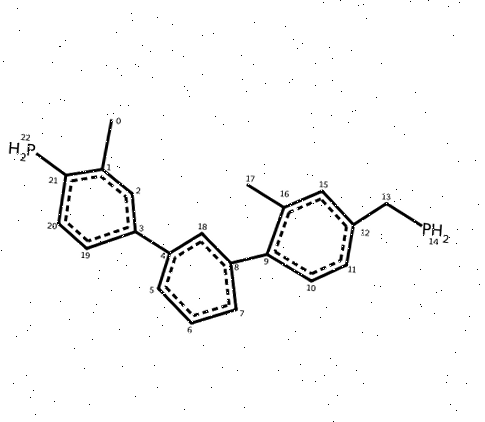 Cc1cc(-c2cccc(-c3ccc(CP)cc3C)c2)ccc1P